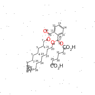 CC(C)CCCCCCCOC(=O)c1ccccc1C(=O)OCCCCCCCC(C)C.O=C(O)CCCCC(=O)O